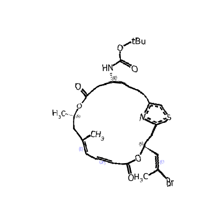 C/C(Br)=C\[C@@H]1Cc2nc(cs2)CC[C@@H](NC(=O)OC(C)(C)C)CC(=O)O[C@@H](C)C/C(C)=C/C=C\C(=O)O1